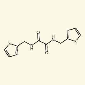 O=C(NCc1cccs1)C(=O)NCc1cccs1